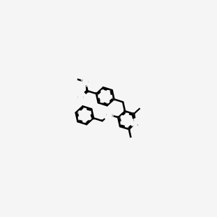 COC(=O)c1ccc(Cc2c(OCc3ccccc3)cc(C)nc2C)cc1